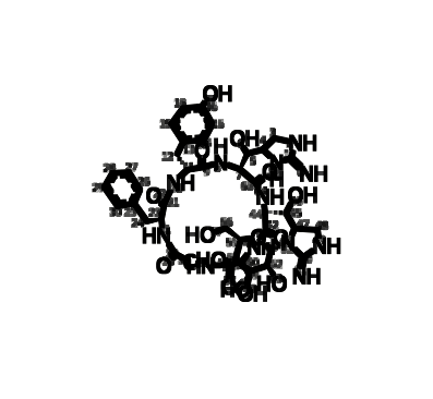 N=C1NCC(C(O)[C@@H]2NC(=O)[C@@H](Cc3ccc(O)cc3)NC(=O)[C@H](Cc3ccccc3)NC(=O)CNC(=O)[C@H](CO)NC(=O)[C@@H](C(O)C3CNC(=N)N3[C@H]3O[C@H](CO)[C@@H](O)[C@H](O)[C@@H]3O)NC2=O)N1